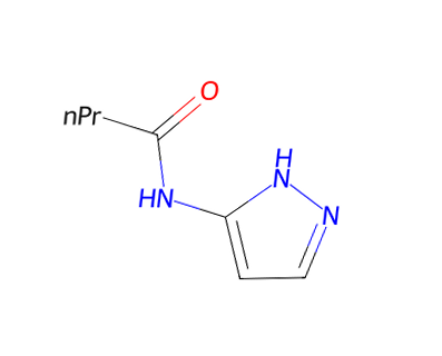 CCCC(=O)Nc1ccn[nH]1